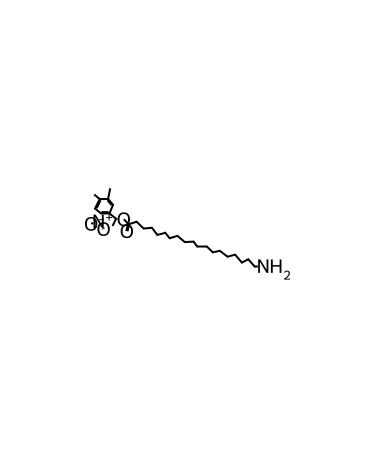 Cc1cc(C(C)OC(=O)CCCCCCCCCCCCCCCCCCN)c([N+](=O)[O-])cc1C